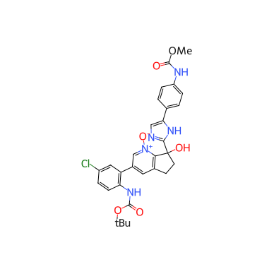 COC(=O)Nc1ccc(-c2cnc(C3(O)CCc4cc(-c5cc(Cl)ccc5NC(=O)OC(C)(C)C)c[n+]([O-])c43)[nH]2)cc1